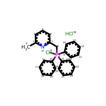 Cc1cccc(CP(Cl)(c2ccccc2)(c2ccccc2)c2ccccc2)n1.Cl